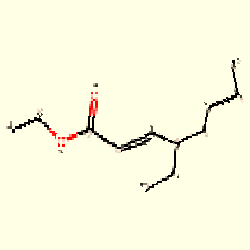 CCCCC(C=CC(=O)OCC)CC